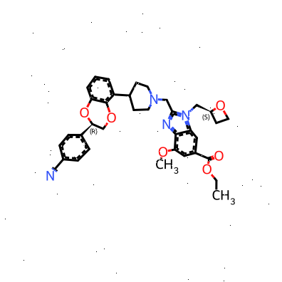 CCOC(=O)c1cc(OC)c2nc(CN3CCC(c4cccc5c4OC[C@@H](c4ccc(C#N)cc4)O5)CC3)n(C[C@@H]3CCO3)c2c1